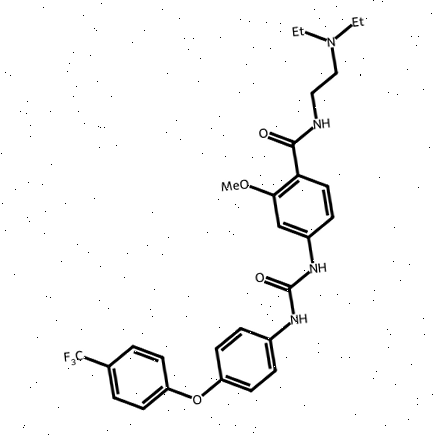 CCN(CC)CCNC(=O)c1ccc(NC(=O)Nc2ccc(Oc3ccc(C(F)(F)F)cc3)cc2)cc1OC